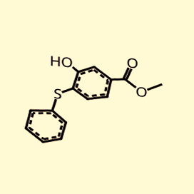 COC(=O)c1ccc(Sc2ccccc2)c(O)c1